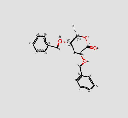 C[C@@H]1OC(=O)[C@@H](OCc2ccccc2)C[C@@H]1OCc1ccccc1